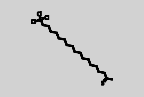 CC(=S)CCCCCCCCCCCCCCCC[Si](Cl)(Cl)Cl